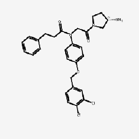 N[C@H]1CCN(C(=O)CN(C(=O)CCc2ccccc2)c2ccc(OCc3ccc(Cl)c(Cl)c3)cc2)C1